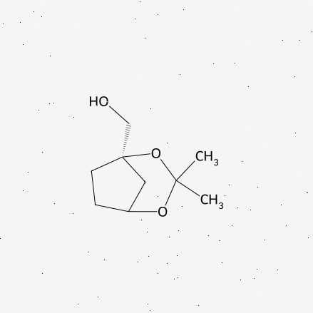 CC1(C)OC2CC[C@](CO)(C2)O1